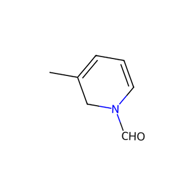 CC1=CC=CN(C=O)C1